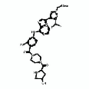 CCc1cc(Nc2nccn3c(-c4cn(COC)nc4C(F)F)cnc23)ccc1C(=O)N1CCN(C(=O)C2CC(O)CN2)CC1